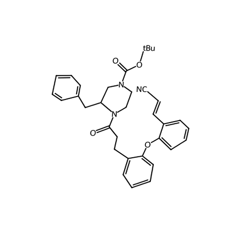 CC(C)(C)OC(=O)N1CCN(C(=O)CCc2ccccc2Oc2ccccc2/C=C/C#N)C(Cc2ccccc2)C1